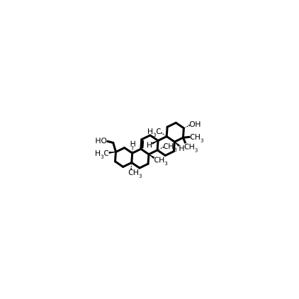 CC1(C)[C@@H](O)CC[C@]2(C)[C@H]3CC=C4[C@@H]5C[C@@](C)(CO)CC[C@]5(C)CC[C@@]4(C)[C@]3(C)CC[C@@H]12